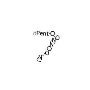 CCCCCc1cccc(C(=O)N2CCN(c3ccc(OCCCN4CCCCC4)cc3)CC2)c1